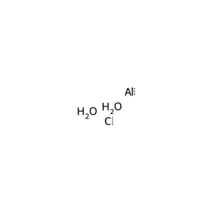 O.O.[Al].[C]